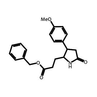 COc1ccc(C2CC(=O)NC2CCC(=O)OCc2ccccc2)cc1